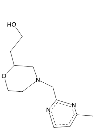 OCCC1CN(Cc2nccc(Cl)n2)CCO1